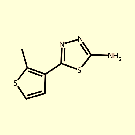 Cc1sccc1-c1nnc(N)s1